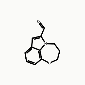 O=Cc1cc2cccc3c2n1CCCO3